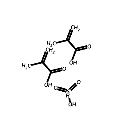 C=C(C)C(=O)O.C=C(C)C(=O)O.O=[SH](=O)O